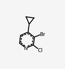 Clc1nccc(C2CC2)c1Br